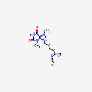 CC(CCCCN1CN(C)c2c1n(C)c(=O)[nH]c2=O)N=C=S